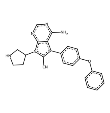 N#Cc1c(-c2ccc(Oc3ccccc3)cc2)c2c(N)ncnc2n1C1CCNC1